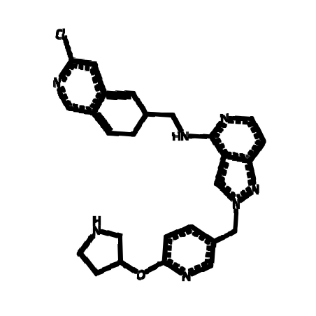 Clc1cc2c(cn1)=CCC(CNc1nccc3nn(Cc4ccc(OC5CCNC5)nc4)cc13)C=2